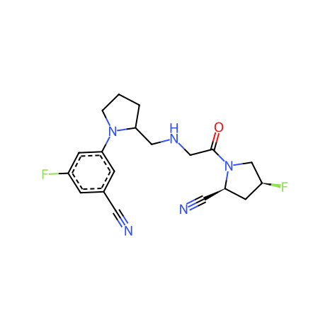 N#Cc1cc(F)cc(N2CCCC2CNCC(=O)N2C[C@@H](F)C[C@H]2C#N)c1